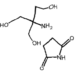 NC(CO)(CO)CO.O=C1CCC(=O)N1